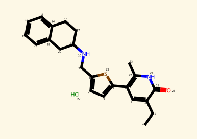 CCc1cc(-c2ccc(CNC3CCc4ccccc4C3)s2)c(C)[nH]c1=O.Cl